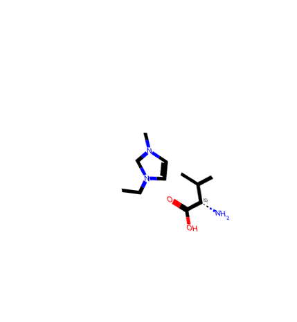 CC(C)[C@H](N)C(=O)O.CCN1C=CN(C)C1